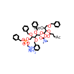 COC(COCc1ccccc1)C(OC(=O)CCC(C)=O)C(OCC(OCc1ccccc1)C(OCc1ccccc1)C(COP(=O)(OCNN)OCc1ccccc1)OCc1ccccc1)OC(=O)N(C)C